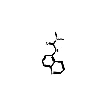 CN(C)C(=O)Nc1cccc2ncccc12